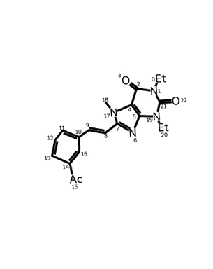 CCn1c(=O)c2c(nc(C=Cc3cccc(C(C)=O)c3)n2C)n(CC)c1=O